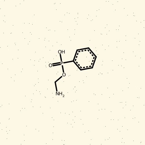 NCOP(=O)(O)c1ccccc1